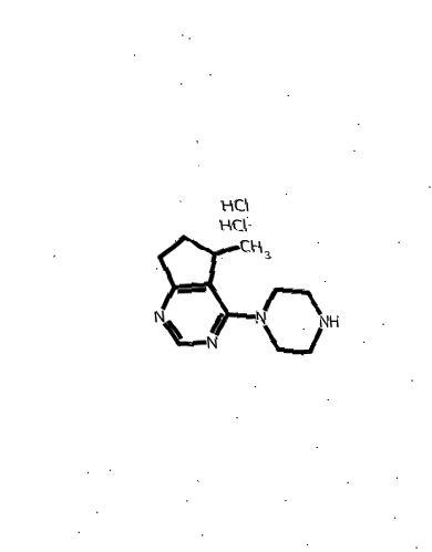 CC1CCc2ncnc(N3CCNCC3)c21.Cl.Cl